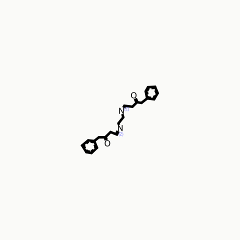 O=C(C/C=N\CC/N=C\CC(=O)Cc1ccccc1)Cc1ccccc1